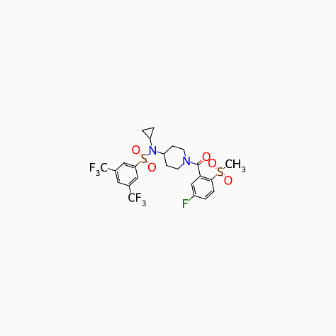 CS(=O)(=O)c1ccc(F)cc1C(=O)N1CCC(N(C2CC2)S(=O)(=O)c2cc(C(F)(F)F)cc(C(F)(F)F)c2)CC1